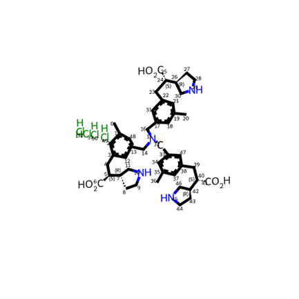 Cc1cc(C[C@H](C(=O)O)[C@H]2CCNC2)cc(CN(Cc2cc(C)cc(C[C@H](C(=O)O)[C@H]3CCNC3)c2)Cc2cc(C)cc(C[C@H](C(=O)O)[C@H]3CCNC3)c2)c1.Cl.Cl.Cl.Cl